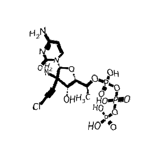 C[C@H](OP(=O)(O)OP(=O)(O)OP(=O)(O)O)[C@H]1O[C@@H](n2ccc(N)nc2=O)C(N)(C#CCl)[C@H]1O